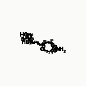 C[C@H]1C/C=C\C(=O)O[C@@H](/C=C/C#C/C=C/C(C)(C)C(O)c2cccc(O)c2Br)[C@H](C)/C=C/[C@@H](C)C[C@@H](OC(N)=O)C1